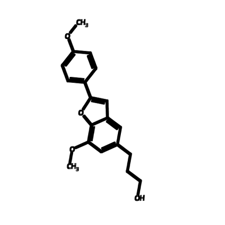 COc1ccc(-c2cc3cc(CCCO)cc(OC)c3o2)cc1